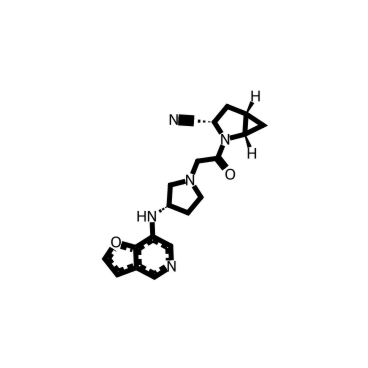 N#C[C@@H]1C[C@@H]2C[C@@H]2N1C(=O)CN1CC[C@H](Nc2cncc3ccoc23)C1